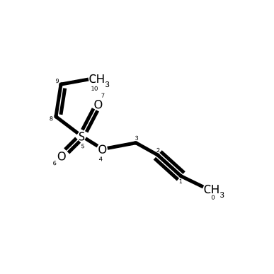 CC#CCOS(=O)(=O)/C=C\C